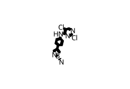 N#CB1C=C(c2ccc(Nc3nc(Cl)ncc3Cl)cc2)C=N1